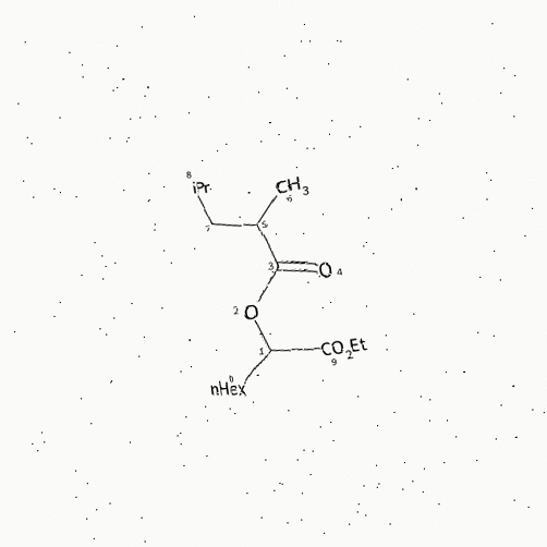 CCCCCCC(OC(=O)C(C)CC(C)C)C(=O)OCC